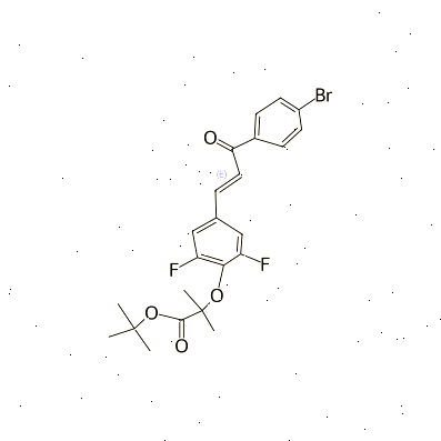 CC(C)(C)OC(=O)C(C)(C)Oc1c(F)cc(/C=C/C(=O)c2ccc(Br)cc2)cc1F